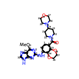 COc1nc(Nc2ccc(C(=O)N3CCC(N4CCOCC4)CC3)c3c2OCCO3)nc2[nH]cnc12